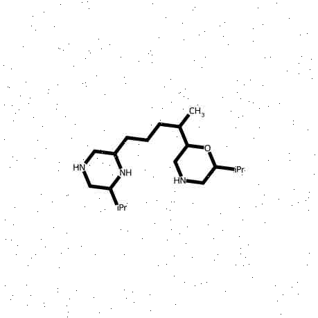 CC(C)C1CNCC(CCCC(C)C2CNCC(C(C)C)O2)N1